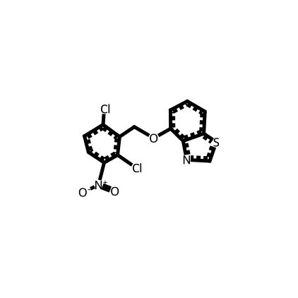 O=[N+]([O-])c1ccc(Cl)c(COc2cccc3scnc23)c1Cl